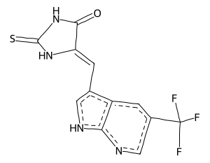 O=C1NC(=S)NC1=Cc1c[nH]c2ncc(C(F)(F)F)cc12